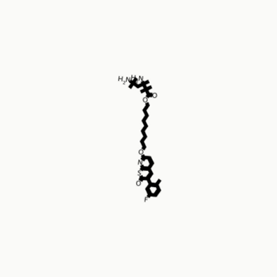 Cc1ccc(F)cc1-c1cc2ccc(OCCCCCCCCCOC(=O)C(C)(C)C(C)(N)CC(C)(C)N)nc2sc1=O